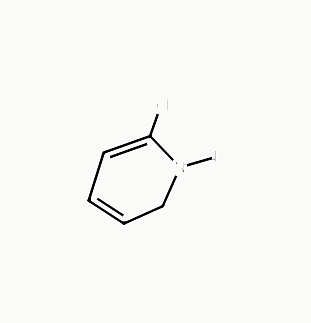 FN1CC=CC=C1Cl